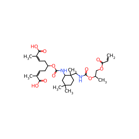 C=CC(=O)OCC(C)OC(=O)NCC1(C)CCC(C)(C)CC1NC(=O)OC(CC=C(C)C(=O)O)CC=C(C)C(=O)O